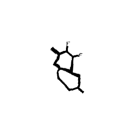 CC1CCC2CC(C)C(F)C(F)C2C1